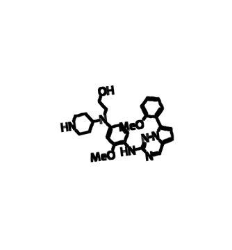 COc1cc(N(CCO)C2CCNCC2)ccc1Nc1ncc2ccc(-c3ccccc3OC)n2n1